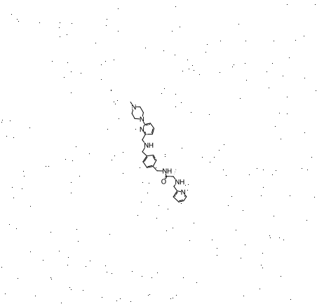 C[C@H](NCc1ccccn1)C(=O)NCc1ccc(CNCc2cccc(N3CCN(C)CC3)n2)cc1